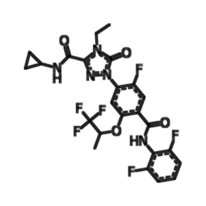 CCn1c(C(=O)NC2CC2)nn(-c2cc(OC(C)C(F)(F)F)c(C(=O)Nc3c(F)cccc3F)cc2F)c1=O